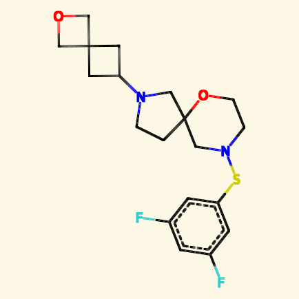 Fc1cc(F)cc(SN2CCOC3(CCN(C4CC5(COC5)C4)C3)C2)c1